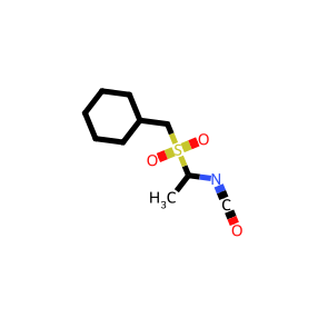 CC(N=C=O)S(=O)(=O)CC1CCCCC1